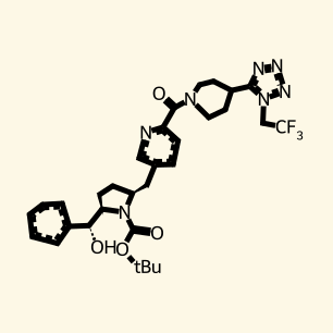 CC(C)(C)OC(=O)N1[C@H](Cc2ccc(C(=O)N3CCC(c4nnnn4CC(F)(F)F)CC3)nc2)CC[C@@H]1[C@H](O)c1ccccc1